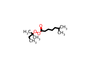 CCC(C)(C)OOC(=O)CCCCC(C)C